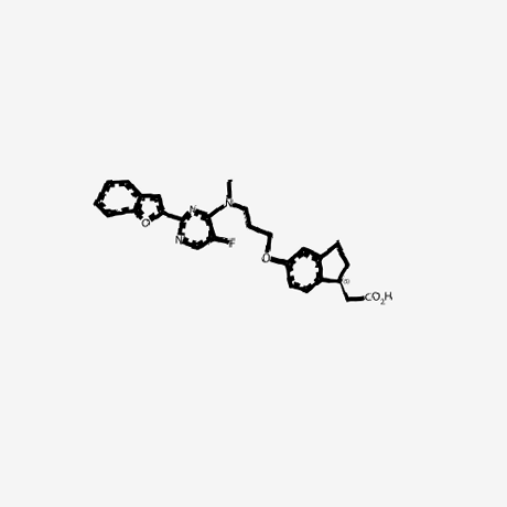 CN(CCCOc1ccc2c(c1)CC[C@H]2CC(=O)O)c1nc(-c2cc3ccccc3o2)ncc1F